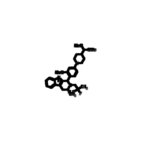 COc1cc(N2CCC(C(OC)OC)CC2)ccc1C1c2[nH]c3ccccc3c2CC(C)N1CC(C)(C)F